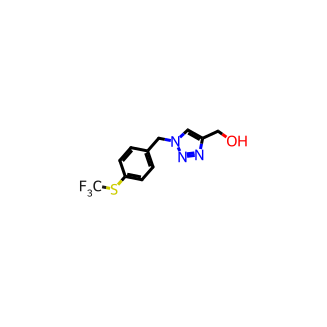 OCc1cn(Cc2ccc(SC(F)(F)F)cc2)nn1